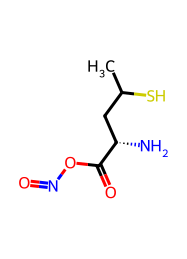 CC(S)C[C@H](N)C(=O)ON=O